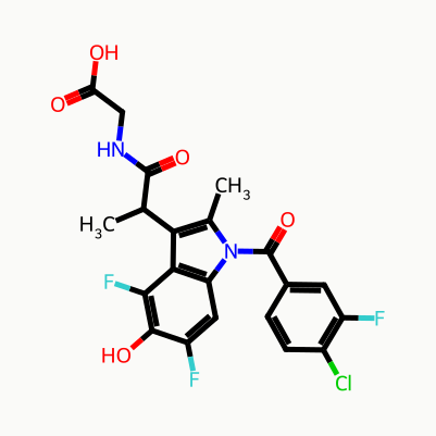 Cc1c(C(C)C(=O)NCC(=O)O)c2c(F)c(O)c(F)cc2n1C(=O)c1ccc(Cl)c(F)c1